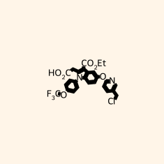 CCOC(=O)c1c(CC(=O)O)n(-c2ccc(OC(F)(F)F)cc2)c2ccc(Oc3ccc(CCl)cn3)cc12